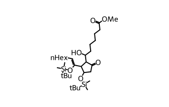 CCCCCCC=C(O[Si](C)(C)C(C)(C)C)C1C(O[Si](C)(C)C(C)(C)C)CC(=O)C1C(O)CCCCCC(=O)OC